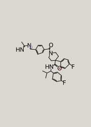 CC(=N)/N=C/c1ccc(C(=O)N2CCC(C(=O)NC(c3ccc(F)cc3)C(C)C)(c3ccc(F)cc3)CC2)cc1